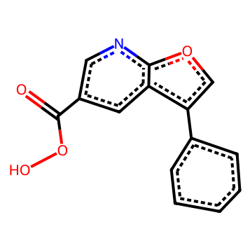 O=C(OO)c1cnc2occ(-c3ccccc3)c2c1